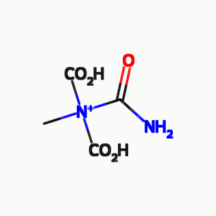 C[N+](C(N)=O)(C(=O)O)C(=O)O